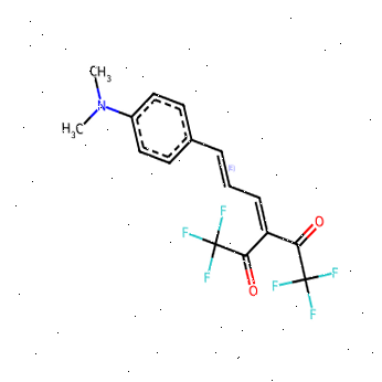 CN(C)c1ccc(/C=C/C=C(C(=O)C(F)(F)F)C(=O)C(F)(F)F)cc1